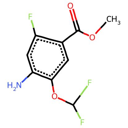 COC(=O)c1cc(OC(F)F)c(N)cc1F